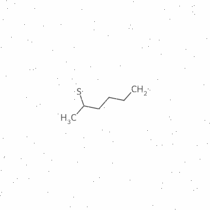 [CH2]CCCC(C)[S]